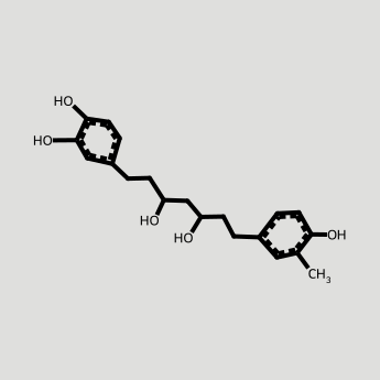 Cc1cc(CCC(O)CC(O)CCc2ccc(O)c(O)c2)ccc1O